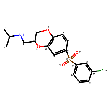 CC(C)NCC1COc2ccc(S(=O)(=O)c3cccc(F)c3)cc2O1